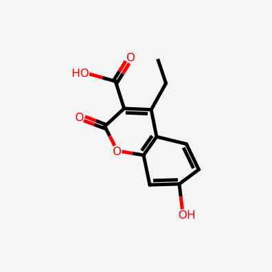 CCc1c(C(=O)O)c(=O)oc2cc(O)ccc12